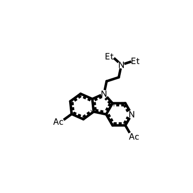 CCN(CC)CCn1c2ccc(C(C)=O)cc2c2cc(C(C)=O)ncc21